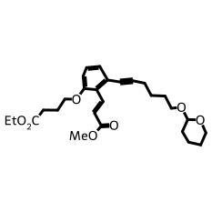 CCOC(=O)CCCOc1cccc(C#CCCCCOC2CCCCO2)c1/C=C/C(=O)OC